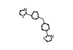 c1csc(-c2ccc(Cc3ccc(-c4nccs4)cc3)cc2)n1